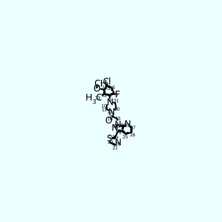 COc1c(Cl)cc(F)c(N2CCN(C(=O)Cn3nc(-c4nccs4)c4cccnc43)CC2)c1C